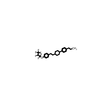 CCCc1ccc(C2CCC(CCc3ccc(OC(F)(F)C(F)C(F)(F)F)cc3)CC2)cc1